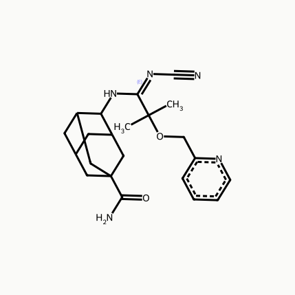 CC(C)(OCc1ccccn1)/C(=N\C#N)NC1C2CC3CC1CC(C(N)=O)(C3)C2